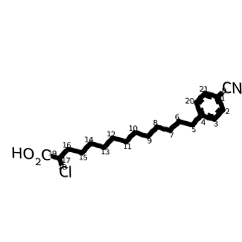 N#Cc1ccc(CCCCCCCCCCCCC(Cl)C(=O)O)cc1